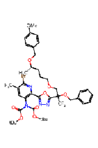 COc1ccc(CO[C@@H](C)CCCOCC(OCc2ccccc2)(c2nnc(-c3nc(Br)c(C(F)(F)F)cc3N(C(=O)OC(C)(C)C)C(=O)OC(C)(C)C)o2)C(F)(F)F)cc1